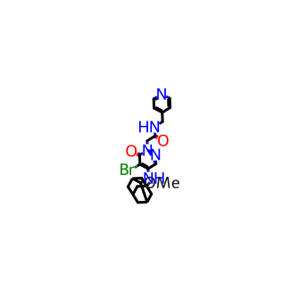 COC12CC3CC(C1)C(Nc1cnn(CC(=O)NCc4ccncc4)c(=O)c1Br)C(C3)C2